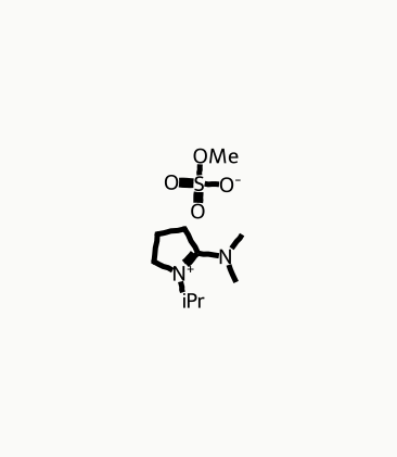 CC(C)[N+]1=C(N(C)C)CCC1.COS(=O)(=O)[O-]